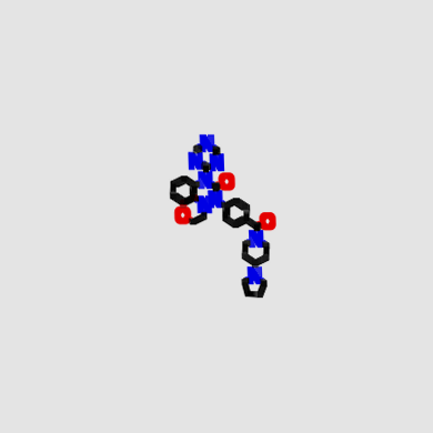 O=C(c1ccc(N(C(=O)N(c2ccccc2)c2ncncn2)N2CCOCC2)cc1)N1CCC(N2CCCC2)CC1